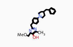 COCc1nc(Cc2ccc(N3CCC(Cc4ccccc4)CC3)cc2)nc(C)c1O